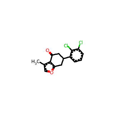 Cc1coc2c1C(=O)CC(c1cccc(Cl)c1Cl)C2